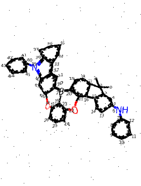 CC1(C)c2cc(Nc3ccccc3)ccc2-c2c1ccc1c2Oc2cccc3c2B1c1cc2c4ccccc4n(-c4ccccc4)c2cc1O3